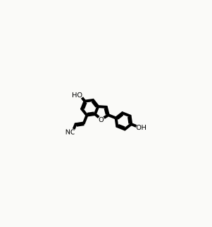 N#CC=Cc1cc(O)cc2cc(-c3ccc(O)cc3)oc12